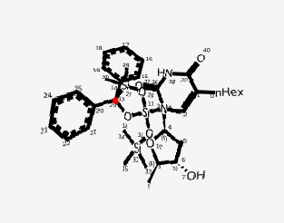 CCCCCCC1=C[N+]([C@H]2C[C@H](O)[C@@H](C)O2)([Si](OC(c2ccccc2)c2ccccc2)(O[Si](C)(C)C)O[Si](C)(C)C)C(=O)NC1=O